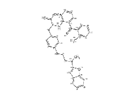 COC(=O)C(Cc1ccc(OCCN(C)c2nc3ccccc3o2)cc1)Nc1ccccc1C(=O)c1ccccc1C